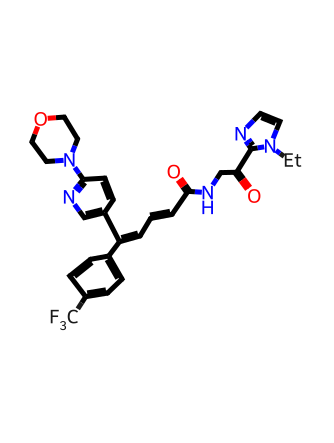 CCn1ccnc1C(=O)CNC(=O)C=CC=C(c1ccc(C(F)(F)F)cc1)c1ccc(N2CCOCC2)nc1